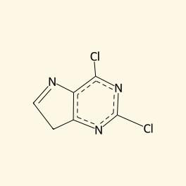 Clc1nc(Cl)c2c(n1)CC=N2